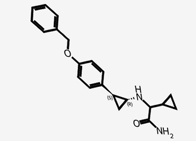 NC(=O)C(N[C@@H]1C[C@H]1c1ccc(OCc2ccccc2)cc1)C1CC1